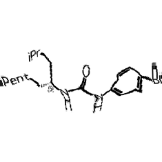 CCCC(C)C[C@H](CC(C)C)NC(=O)Nc1ccc(Br)cc1